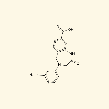 N#Cc1cc(N2CC(=O)Nc3cc(C(=O)O)ccc3C2)ccn1